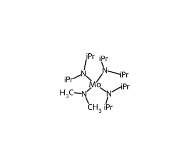 CC(C)[N](C(C)C)[Mo]([N](C)C)([N](C(C)C)C(C)C)[N](C(C)C)C(C)C